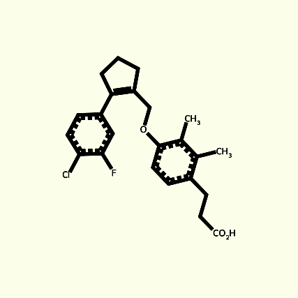 Cc1c(CCC(=O)O)ccc(OCC2=C(c3ccc(Cl)c(F)c3)CCC2)c1C